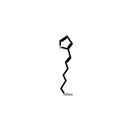 CCCCCCCCCCC=Cc1cccs1